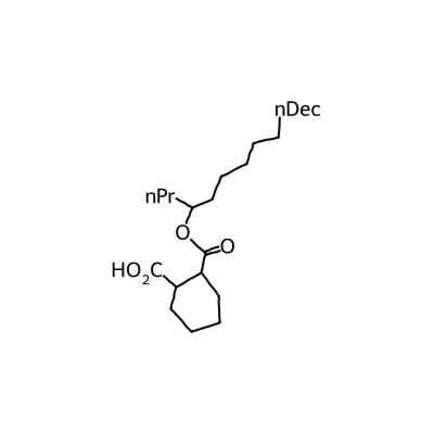 CCCCCCCCCCCCCCCC(CCC)OC(=O)C1CCCCC1C(=O)O